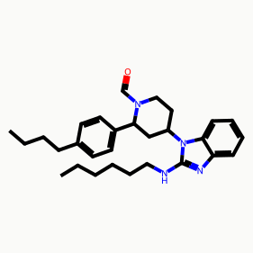 CCCCCCNc1nc2ccccc2n1C1CCN(C=O)C(c2ccc(CCCC)cc2)C1